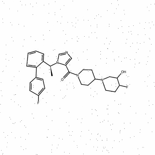 C[C@@H](c1ccccc1-c1ccc(F)cc1)n1cncc1C(=O)N1CCC(N2CCC(F)C(O)C2)CC1